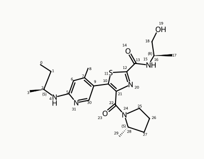 CC[C@H](C)Nc1cc(C)c(-c2sc(C(=O)N[C@H](C)CO)nc2C(=O)N2CCC[C@@H]2C)cn1